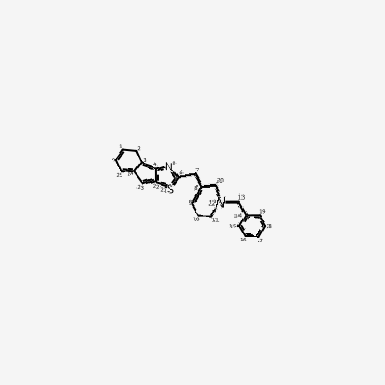 C1=CCC2=c3nc(CC4=CCCN(Cc5ccccc5)C4)sc3=CC2=C1